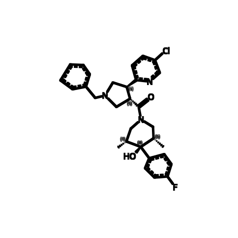 C[C@@H]1CN(C(=O)[C@@H]2CN(Cc3ccccc3)C[C@H]2c2ccc(Cl)cn2)C[C@H](C)[C@]1(O)c1ccc(F)cc1